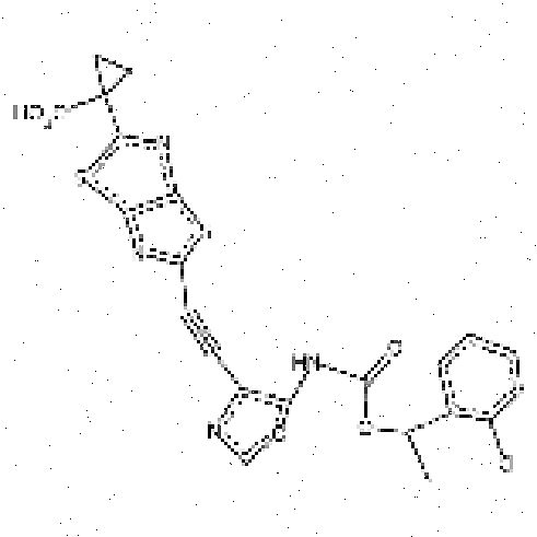 CC(OC(=O)Nc1ocnc1C#Cc1nc2sc(C3(C(=O)O)CC3)nc2s1)c1ccccc1Cl